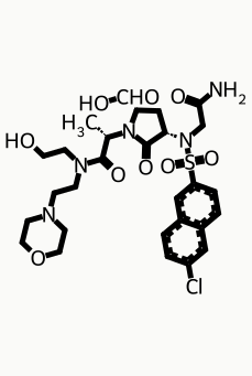 C[C@@H](C(=O)N(CCO)CCN1CCOCC1)N1CC[C@H](N(CC(N)=O)S(=O)(=O)c2ccc3cc(Cl)ccc3c2)C1=O.O=CO